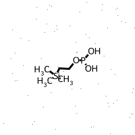 C[Si](C)(C)CCOP(O)O